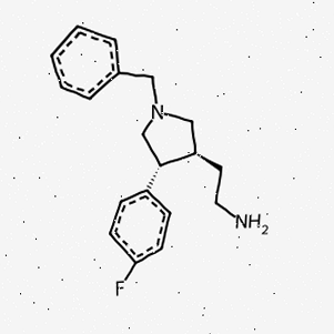 NCC[C@@H]1CN(Cc2ccccc2)C[C@H]1c1ccc(F)cc1